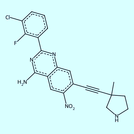 CC1(C#Cc2cc3nc(-c4cccc(Cl)c4F)nc(N)c3cc2[N+](=O)[O-])CCNC1